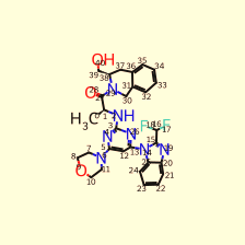 C[C@H](Nc1nc(N2CCOCC2)cc(-n2c(C(F)F)nc3ccccc32)n1)C(=O)N1Cc2ccccc2C[C@@H]1CO